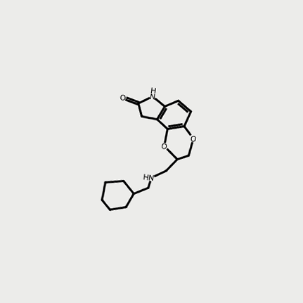 O=C1Cc2c(ccc3c2OC(CNCC2CCCCC2)CO3)N1